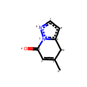 CC1=CC(=O)n2nccc2C1